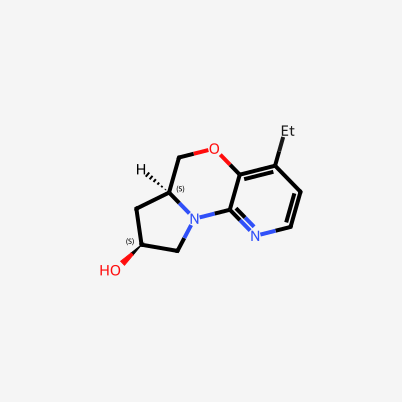 CCc1ccnc2c1OC[C@@H]1C[C@H](O)CN21